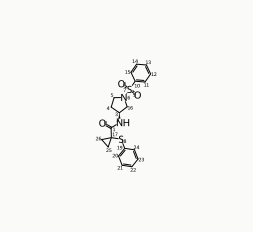 O=C(N[C@H]1CCN(S(=O)(=O)c2ccccc2)C1)C1(Sc2ccccc2)CC1